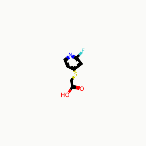 O=C(O)CSc1ccnc(F)c1